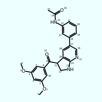 COc1cc(OC)cc(C(=O)C2CNc3ncc(-c4cccc(NC(C)=O)c4)cc32)c1